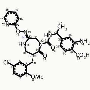 COc1ccc(Cl)cc1C[C@@H]1CN/C(=N\Oc2ccccn2)CN(C(=O)NC(C)c2ccc(C(=O)O)c(N)c2)C1=O